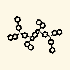 c1ccc(-c2ccc(N(c3ccc(-n4c(-c5cccc6ccccc56)cc5cc6c(cc(-c7cccc8ccccc78)n6-c6ccc(N(c7ccc(-c8ccccc8)cc7)c7ccc8ccccc8c7)cc6)cc54)cc3)c3ccc4ccccc4c3)cc2)cc1